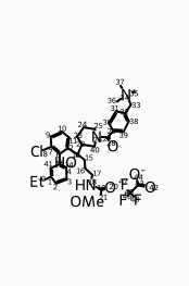 CCc1cccc(-c2c(Cl)cccc2C(O)(CCCNC(=O)OC)C2CCCN(C(=O)c3ccc(C[N+](C)(C)C)cc3)C2)c1.O=C([O-])C(F)(F)F